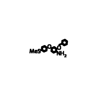 CSc1ccc(Oc2ccc(N)c(OCc3ccccc3)c2)cc1